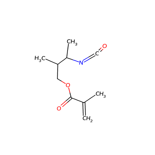 C=C(C)C(=O)OCC(C)C(C)N=C=O